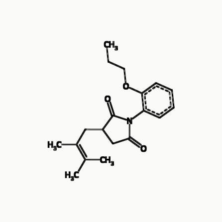 CCCOc1ccccc1N1C(=O)CC(CC(C)=C(C)C)C1=O